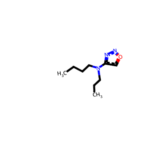 CCCCN(CCC)c1conn1